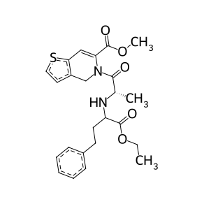 CCOC(=O)C(CCc1ccccc1)N[C@@H](C)C(=O)N1Cc2ccsc2C=C1C(=O)OC